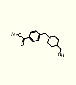 COC(=O)c1ccc(CN2CCC(CO)CC2)cc1